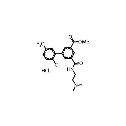 COC(=O)c1cc(C(=O)NCCN(C)C)cc(-c2cc(C(F)(F)F)ccc2Cl)c1.Cl